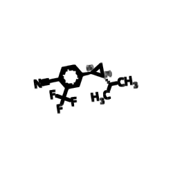 CC(C)[C@H]1C[C@@H]1c1ccc(C#N)c(C(F)(F)F)c1